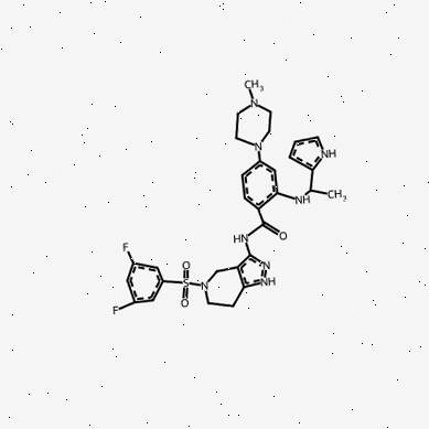 CC(Nc1cc(N2CCN(C)CC2)ccc1C(=O)Nc1n[nH]c2c1CN(S(=O)(=O)c1cc(F)cc(F)c1)CC2)c1ccc[nH]1